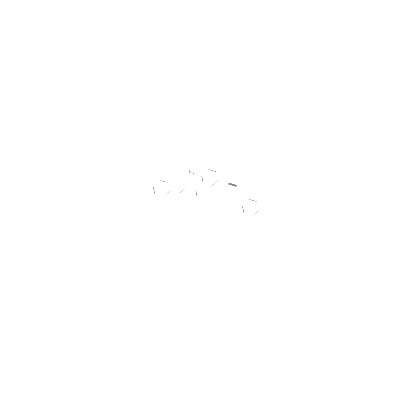 COc1ccc(CC#Cc2ccc3c(c2)C(=O)/C(=C/c2ccc(Cl)cc2)[S+]([O-])N3C)cc1